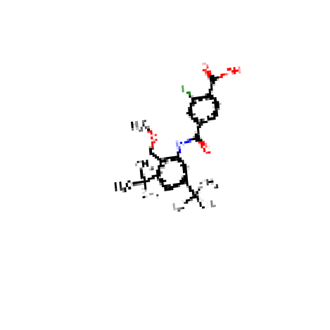 COCc1c(NC(=O)c2ccc(C(=O)O)c(F)c2)cc(C(C)(C)C)cc1C(C)(C)C